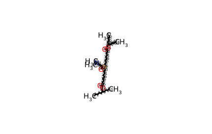 CCCCCC(CCCCC)COC(=O)CCCCCCCCCP(CCCCCCCCCC(=O)OCC(CCCCC)CCCCC)C(=O)CCCN(C)C